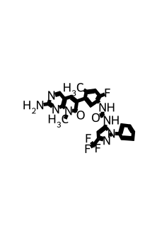 Cc1cc(F)c(NC(=O)Nc2cc(C(F)(F)F)nn2-c2ccccc2)cc1-c1cc2cnc(N)nc2n(C)c1=O